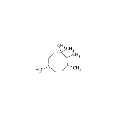 CC1CCN(C)CCC(C)(C)C1C